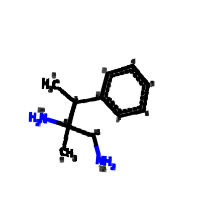 CC(c1ccccc1)C(C)(N)CN